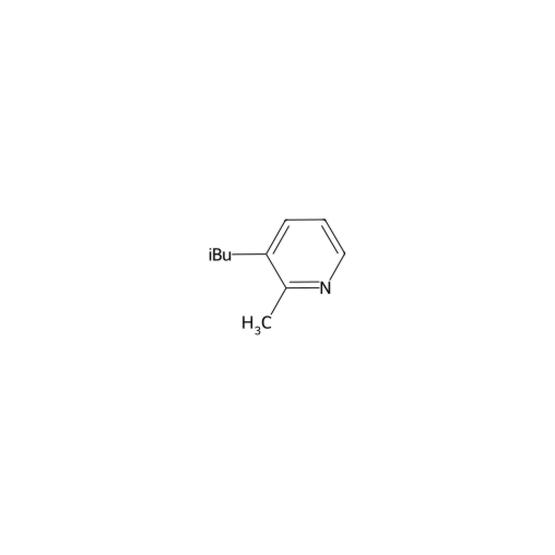 CCC(C)c1cccnc1C